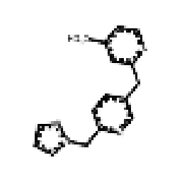 O=C(O)c1ccnc(Cc2ccc(Cn3cccn3)nc2)c1